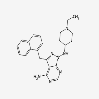 CCN1CCC(Nn2nc(Cc3cccc4ccccc34)c3c(N)ncnc32)CC1